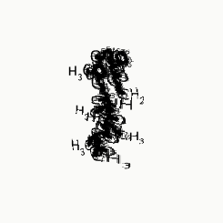 C=CCOC(=O)N1c2cc(OCCCC(=O)Nc3cc(C(=O)NC4CN(C)C(C(=O)Oc5cc(C(=O)OC)n(C)c5)=N4)n(C)c3)c(OC)cc2C(=O)N2CCC[C@H]2C1OC1CCCCO1